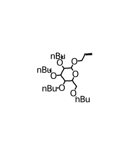 C=CCOC1OC(COCCCC)C(OCCCC)C(OCCCC)C1OCCCC